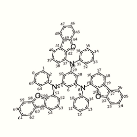 c1ccc(N(c2cc(N(c3ccccc3)c3cccc4c3oc3ccccc34)cc(N(c3ccccc3)c3cccc4c3oc3ccccc34)c2)c2cccc3c2oc2ccccc23)cc1